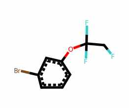 FCC(F)(F)Oc1cccc(Br)c1